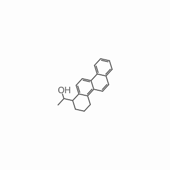 CC(O)C1CCCc2c1ccc1c2ccc2ccccc21